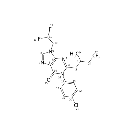 CC(Cc1nc2c(ncn2CC(F)F)c(=O)n1-c1ccc(Cl)cc1)CC(F)(F)F